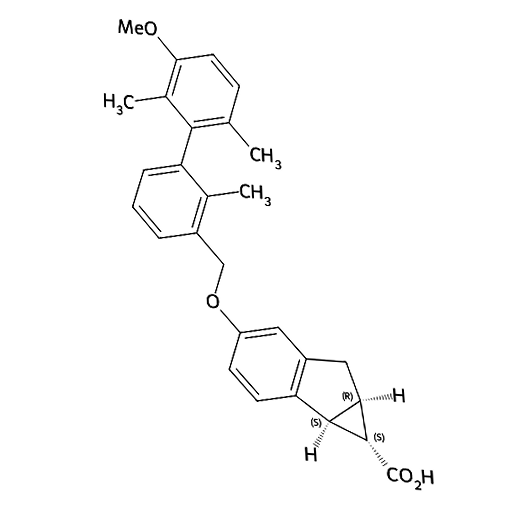 COc1ccc(C)c(-c2cccc(COc3ccc4c(c3)C[C@H]3[C@H](C(=O)O)[C@@H]43)c2C)c1C